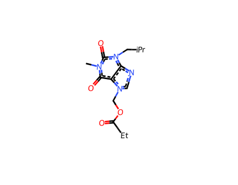 CCC(=O)OCn1cnc2c1c(=O)n(C)c(=O)n2CC(C)C